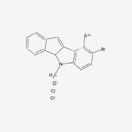 CN1c2ccc(Br)[c]([Zr+3])c2C2=Cc3ccccc3C21.[Cl-].[Cl-].[Cl-]